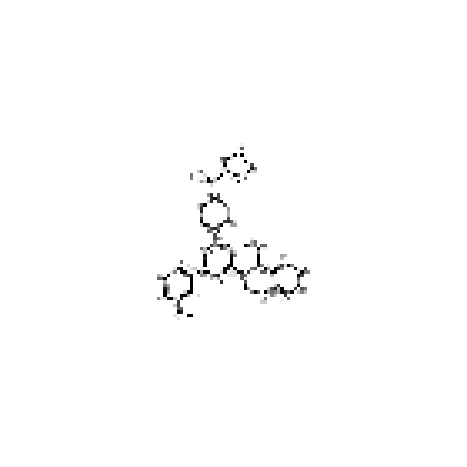 O=C(C1CCCO1)N1CCN(c2nc(-c3cccc(O)c3)nc(N3CCc4ccccc4C3CO)n2)CC1